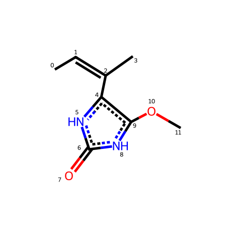 C/C=C(/C)c1[nH]c(=O)[nH]c1OC